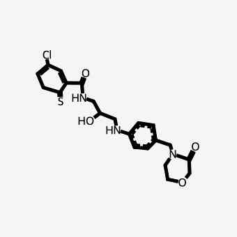 O=C(NCC(O)CNc1ccc(CN2CCOCC2=O)cc1)C1=CC(Cl)=CCC1=S